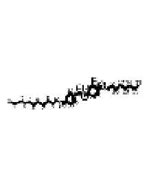 CCCCCCCCCCCOc1ccc(C(=O)Oc2ccc(OCCCCCCCC)c(F)c2)cc1